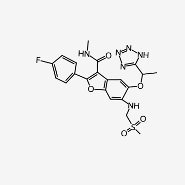 CNC(=O)c1c(-c2ccc(F)cc2)oc2cc(NCS(C)(=O)=O)c(OC(C)c3nnn[nH]3)cc12